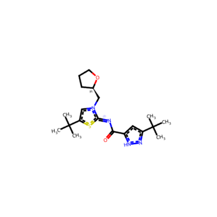 CC(C)(C)c1cc(C(=O)/N=c2\sc(C(C)(C)C)cn2C[C@H]2CCCO2)[nH]n1